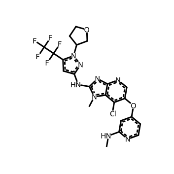 CNc1cc(Oc2cnc3nc(Nc4cc(C(F)(F)C(F)(F)F)n(C5CCOC5)n4)n(C)c3c2Cl)ccn1